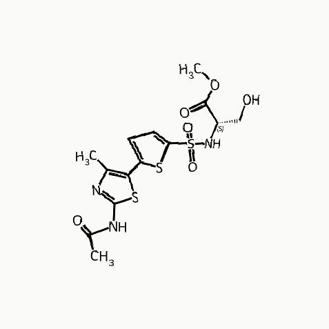 COC(=O)[C@H](CO)NS(=O)(=O)c1ccc(-c2sc(NC(C)=O)nc2C)s1